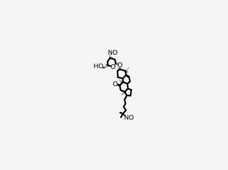 C[C@@H]1C2=CCC3C4CCC(CCCCC(C)(C)N=O)[C@@]4(C)CC(=O)[C@@]3(C)C2CC[C@@H]1O[C@H]1C[C@@H](N=O)C[C@@H](CO)O1